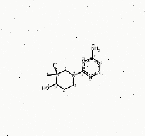 CC1(F)CN(c2nncc(N)n2)CCC1O